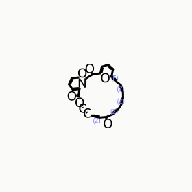 O=C1\C=C/C=C\C=C/C=C2\C=CC=C(O2)C(=O)C(=O)N2CC=CC=C2C(=O)OCC/C=C\1